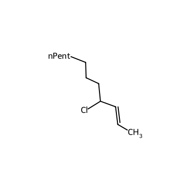 CC=CC(Cl)CCCCCCCC